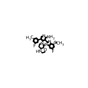 COc1cc(F)cc2[nH]c(-c3c(N)ncc(-c4cc(C)cc(F)c4)c3N3CCC4NCCOC4C3)nc12